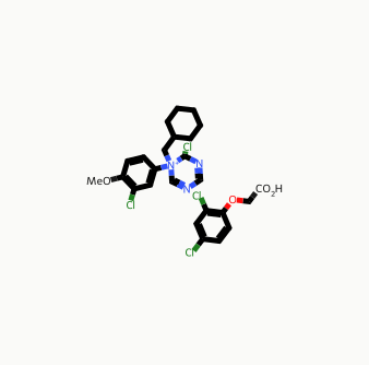 COc1ccc([N+]2(CC3CCCCC3)C=NC=NC2Cl)cc1Cl.O=C(O)COc1ccc(Cl)cc1Cl